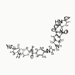 Cc1cc(N[C@H]2CC[C@H](N(I)C(=O)c3ccc(N4CC(CN5Cc6cc7c(cc6C5)C(=O)N(C5CCC(=O)NC5=O)C7=O)C4)cc3)CC2)ccc1C#N